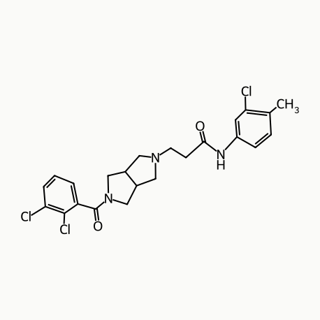 Cc1ccc(NC(=O)CCN2CC3CN(C(=O)c4cccc(Cl)c4Cl)CC3C2)cc1Cl